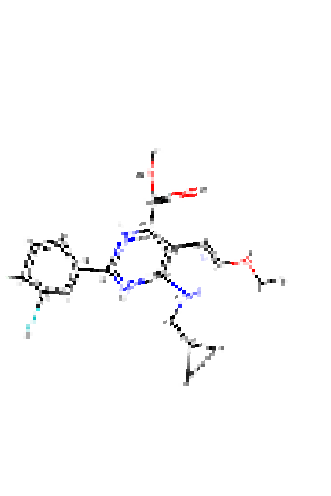 CCO/C=C/c1c(NCC2CC2)nc(-c2ccc(Cl)c(F)c2)nc1C(=O)OC